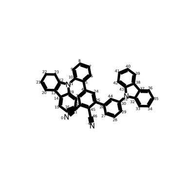 N#Cc1cc(-c2ccccc2-n2c3c(c4ccccc42)C=CCC3)cc(-c2cccc(-n3c4ccccc4c4ccccc43)c2)c1C#N